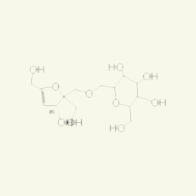 OCC1=C[C@@H](O)C(CO)(COCC2OC(CO)C(O)C(O)C2O)O1